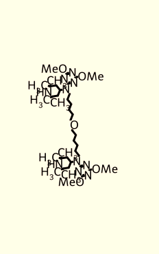 COc1nc(OC)nc(N(CCCCCCOCCCCCCN(c2nc(OC)nc(OC)n2)C2CC(C)(C)NC(C)(C)C2)C2CC(C)(C)NC(C)(C)C2)n1